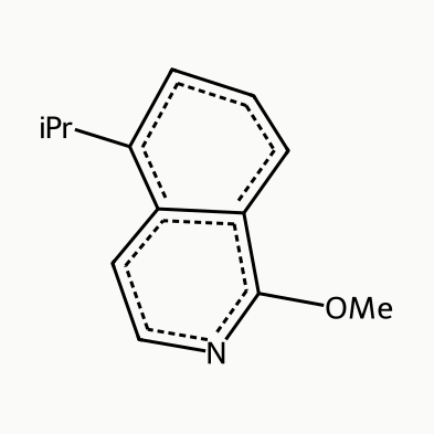 COc1nccc2c(C(C)C)cccc12